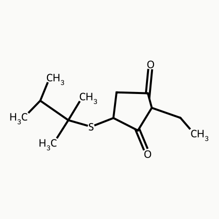 CCC1C(=O)CC(SC(C)(C)C(C)C)C1=O